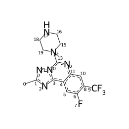 Cc1nc2c3cc(F)c(C(F)(F)F)cc3nc(N3CCNCC3)n2n1